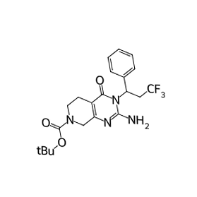 CC(C)(C)OC(=O)N1CCc2c(nc(N)n(C(CC(F)(F)F)c3ccccc3)c2=O)C1